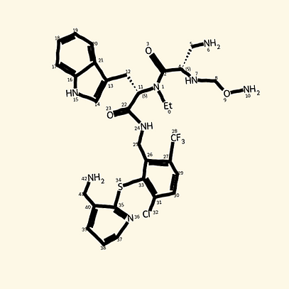 CCN(C(=O)[C@H](CN)NCON)[C@@H](Cc1c[nH]c2ccccc12)C(=O)NCc1c(C(F)(F)F)ccc(Cl)c1Sc1ncccc1CN